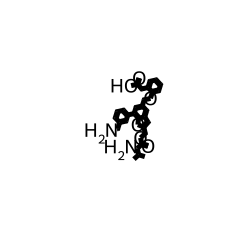 CC(C)C(N)C(=O)OCc1cc2cc(COc3ccccc3CC(=O)O)cc(-c3cccc(CN)c3)c2o1